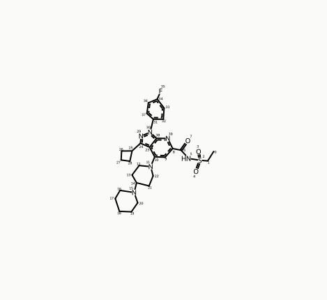 CCS(=O)(=O)NC(=O)c1cc(N2CCC(N3CCCCC3)CC2)c2c(C3CCC3)nn(-c3ccc(F)cc3)c2n1